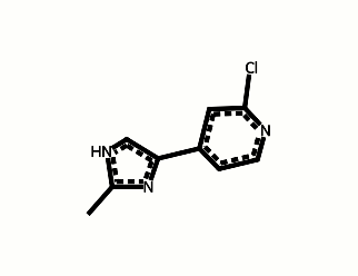 Cc1nc(-c2ccnc(Cl)c2)c[nH]1